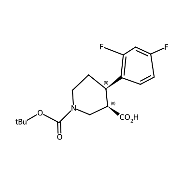 CC(C)(C)OC(=O)N1CC[C@@H](c2ccc(F)cc2F)[C@@H](C(=O)O)C1